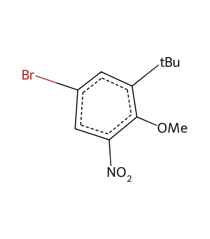 COc1c([N+](=O)[O-])cc(Br)cc1C(C)(C)C